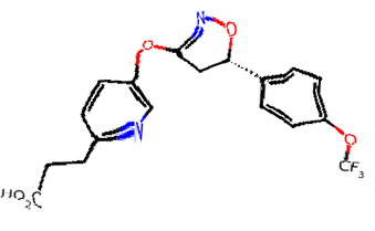 O=C(O)CCc1ccc(OC2=NO[C@H](c3ccc(OC(F)(F)F)cc3)C2)cn1